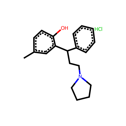 Cc1ccc(O)c(C(CCN2CCCC2)c2ccccc2)c1.Cl